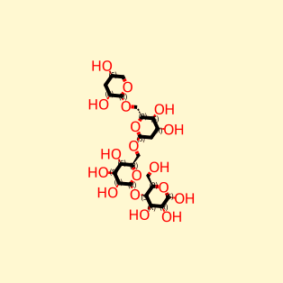 OC[C@H]1O[C@H](O)[C@H](O)[C@@H](O)[C@@H]1O[C@H]1O[C@H](CO[C@@H]2C[C@@H](O)[C@H](O)[C@@H](CO[C@H]3OC[C@@H](O)C[C@H]3O)O2)[C@@H](O)[C@H](O)[C@H]1O